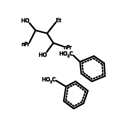 CCCC(O)C(CC)C(O)CCC.O=C(O)c1ccccc1.O=C(O)c1ccccc1